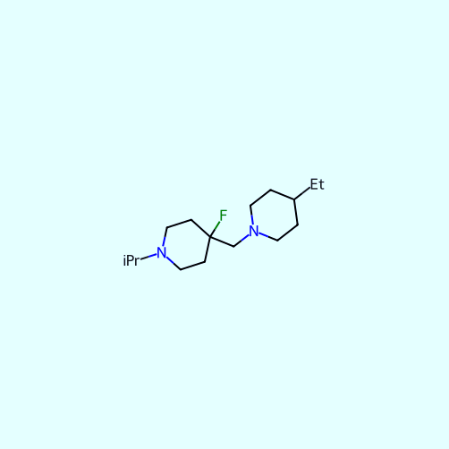 CCC1CCN(CC2(F)CCN(C(C)C)CC2)CC1